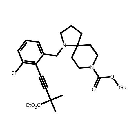 CCOC(=O)C(C)(C)C#Cc1c(Cl)cccc1CN1CCCC12CCN(C(=O)OC(C)(C)C)CC2